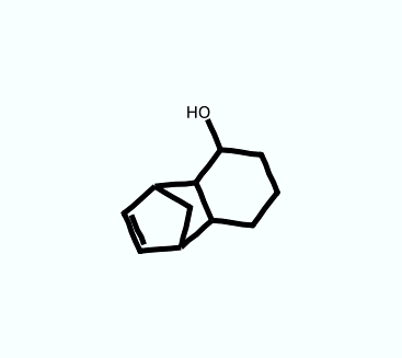 OC1CCCC2C3C=CC(C3)C12